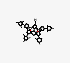 Cc1cc(C)c(-c2ccc3c(c2)c2cc(-c4c(C)cc(C)cc4C)ccc2n3-c2cc(C#N)cc(-n3c4ccc(-c5c(C)cc(C)cc5C)cc4c4cc(-c5c(C)cc(C)cc5C)ccc43)c2-c2c(C#N)cccc2C(F)(F)F)c(C)c1